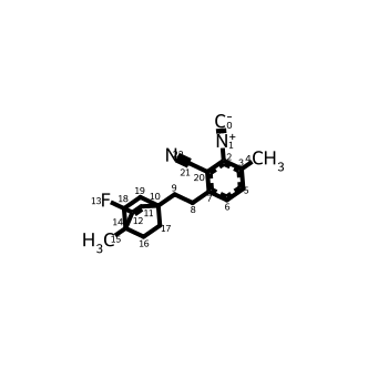 [C-]#[N+]c1c(C)ccc(CCC23C=C(F)C(C)(CC2)CC3)c1C#N